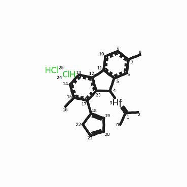 C[C](C)=[Hf][CH]1c2cc(C)ccc2-c2ccc(C)c(C3=CC=CC3)c21.Cl.Cl